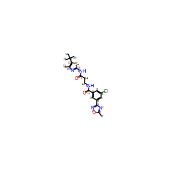 Cc1nc(-c2cc(Cl)cc(C(=O)NCCC(=O)Nc3nc(C)c(C(C)(C)C)s3)c2)no1